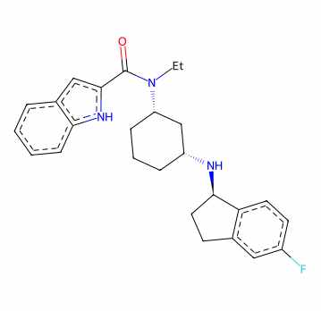 CCN(C(=O)c1cc2ccccc2[nH]1)[C@H]1CCC[C@@H](N[C@@H]2CCc3cc(F)ccc32)C1